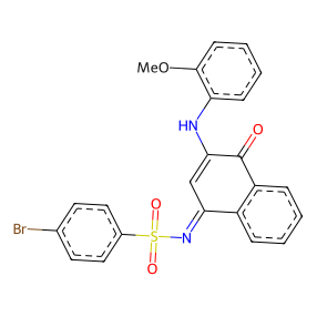 COc1ccccc1NC1=C/C(=N\S(=O)(=O)c2ccc(Br)cc2)c2ccccc2C1=O